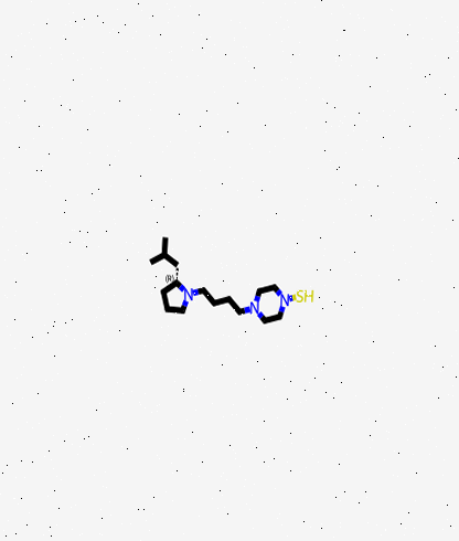 CC(C)C[C@H]1CCCN1CCCCN1CCN(S)CC1